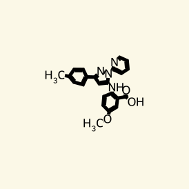 COc1ccc(Nc2cc(-c3ccc(C)cc3)nn2-c2ccccn2)c(C(=O)O)c1